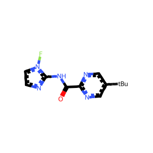 CC(C)(C)c1cnc(C(=O)Nc2nccn2F)nc1